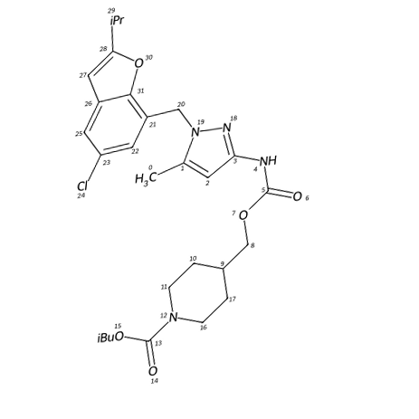 Cc1cc(NC(=O)OCC2CCN(C(=O)OCC(C)C)CC2)nn1Cc1cc(Cl)cc2cc(C(C)C)oc12